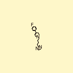 Fc1ccc(C2=CCN(CCCCC3N=CC=N3)CC2)cc1